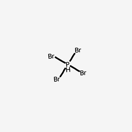 Br[PH](Br)(Br)Br